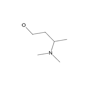 CC(CC[O])N(C)C